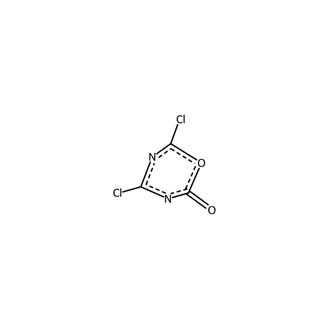 O=c1nc(Cl)nc(Cl)o1